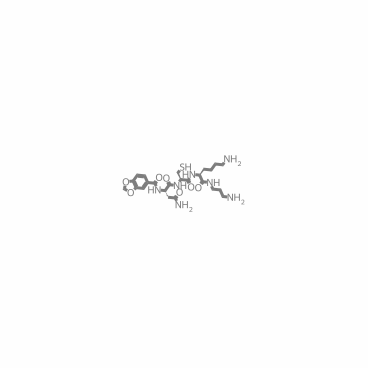 NCCCC[C@H](NC(=O)[C@H](CS)NC(=O)[C@H](CC(N)=O)NC(=O)c1ccc2c(c1)OCO2)C(=O)NCCCN